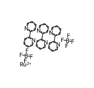 F[B-](F)(F)F.F[B-](F)(F)F.[Ru+2].c1ccc(-c2ccccn2)nc1.c1ccc(-c2ccccn2)nc1.c1ccc(-c2ccccn2)nc1